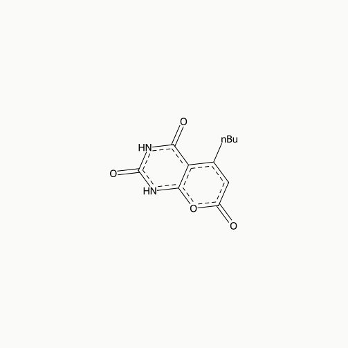 CCCCc1cc(=O)oc2[nH]c(=O)[nH]c(=O)c12